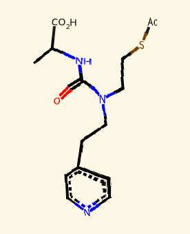 CC(=O)SCCN(CCc1ccncc1)C(=O)NC(C)C(=O)O